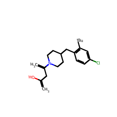 C=C(O)CC(=C)N1CCC(Cc2ccc(Cl)cc2C(C)(C)C)CC1